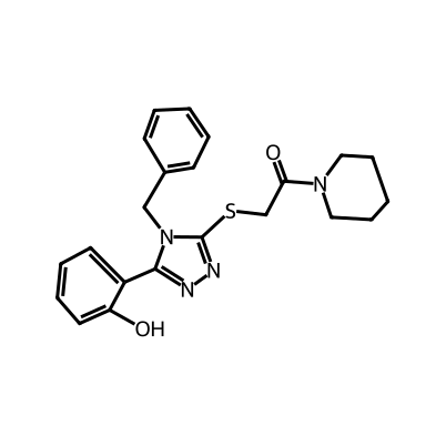 O=C(CSc1nnc(-c2ccccc2O)n1Cc1ccccc1)N1CCCCC1